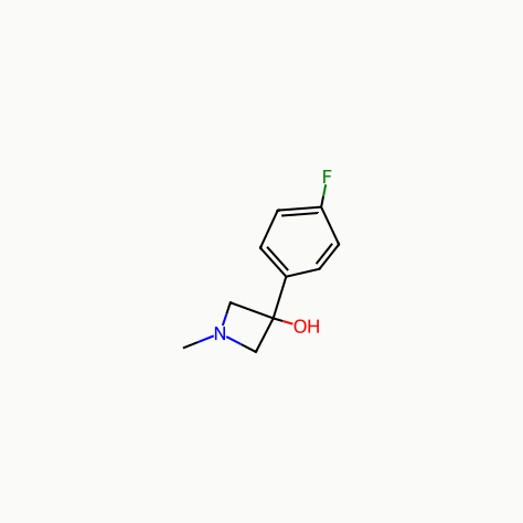 CN1CC(O)(c2ccc(F)cc2)C1